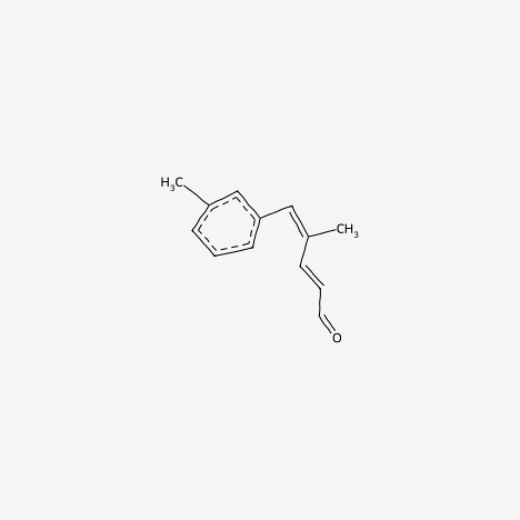 CC(C=CC=O)=Cc1cccc(C)c1